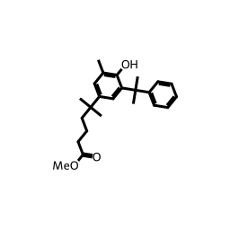 COC(=O)CCCC(C)(C)c1cc(C)c(O)c(C(C)(C)c2ccccc2)c1